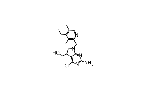 CCc1c(C)cnc(CN2CC(CO)c3c(Cl)nc(N)nc32)c1C